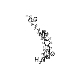 CCOC(=O)CCCCCn1cc(-c2ccc(Cn3ccc(N)nc3=O)cc2)nn1